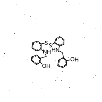 Oc1ccccc1CNc1ccccc1SSc1ccccc1NCc1ccccc1O